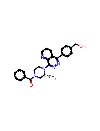 C[C@@H]1CN(C(=O)c2ccccc2)CCN1c1nnc(-c2ccc(CO)cc2)c2cccnc12